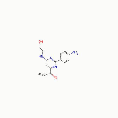 COC(=O)c1cc(NCCO)nc(-c2ccc(N)cc2)n1